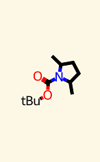 CC1CCC(C)N1C(=O)OC(C)(C)C